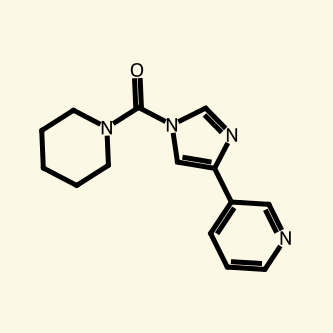 O=C(N1CCCCC1)n1cnc(-c2cccnc2)c1